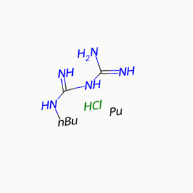 CCCCNC(=N)NC(=N)N.Cl.[Pu]